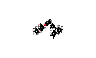 C1CCOC1.C1CCOC1.Cc1cc(C)cc(C)c1.Fc1c(F)c(F)[c]([Ni][c]2c(F)c(F)c(F)c(F)c2F)c(F)c1F.Fc1c(F)c(F)[c]([Ni][c]2c(F)c(F)c(F)c(F)c2F)c(F)c1F